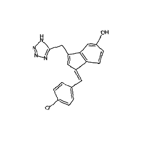 Oc1ccc2c(c1)C(Cc1nnn[nH]1)=CC2=Cc1ccc(Cl)cc1